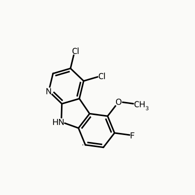 COc1c(F)c[c]c2[nH]c3ncc(Cl)c(Cl)c3c12